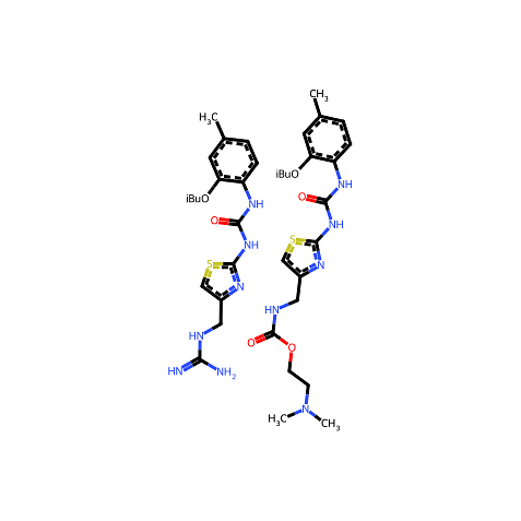 Cc1ccc(NC(=O)Nc2nc(CNC(=N)N)cs2)c(OCC(C)C)c1.Cc1ccc(NC(=O)Nc2nc(CNC(=O)OCCN(C)C)cs2)c(OCC(C)C)c1